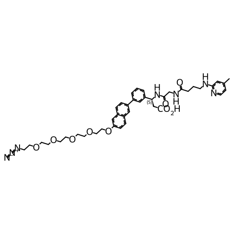 Cc1ccnc(NCCCC(=O)NCC(=O)N[C@@H](CC(=O)O)c2cccc(-c3ccc4cc(OCCOCCOCCOCCOCCN=[N+]=[N-])ccc4c3)c2)c1